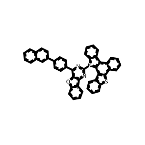 c1ccc2cc(-c3ccc(-c4nc(-n5c6ccccc6c6c7ccccc7c7sc8ccccc8c7c65)nc5c4oc4ccccc45)cc3)ccc2c1